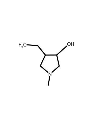 CN1CC(O)C(CC(F)(F)F)C1